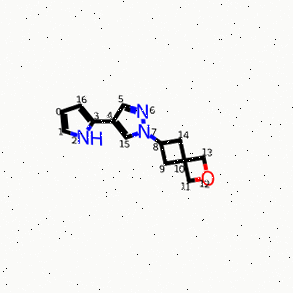 c1c[nH]c(-c2cnn(C3CC4(COC4)C3)c2)c1